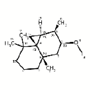 C[C@H]1[C@@H](OI)C[C@]2(C)CCCC(C)(C)[C@@]23C[C@@H]13